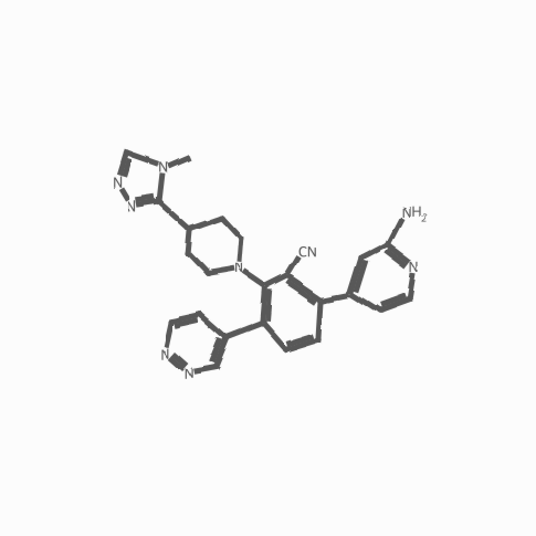 Cn1cnnc1C1CCN(c2c(-c3ccnnc3)ccc(-c3ccnc(N)c3)c2C#N)CC1